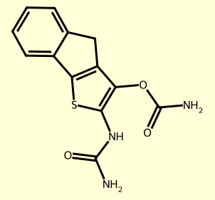 NC(=O)Nc1sc2c(c1OC(N)=O)Cc1ccccc1-2